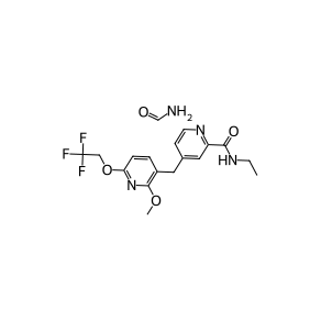 CCNC(=O)c1cc(Cc2ccc(OCC(F)(F)F)nc2OC)ccn1.NC=O